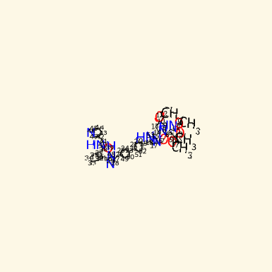 COC(=O)NC(C(=O)N1C[C@@H](OC)C[C@H]1c1ncc(-c2ccc(-c3ccc(-c4cnc([C@@H]5C6CCC(C6)C5C(=O)NCc5cccnc5)[nH]4)cc3)cc2)[nH]1)[C@@H](C)OC